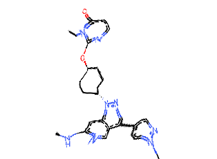 CNc1cc2c(cn1)c(-c1cnn(C)c1)nn2[C@H]1CC[C@H](Oc2nccc(=O)n2C)CC1